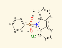 Cc1cccc2c3cccc(Cl)c3n(S(=O)(=O)c3ccccc3)c12